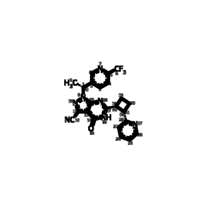 C[C@H](c1ccc(C(F)(F)F)nc1)n1nc(C#N)c2c(=O)[nH]c([C@H]3CC[C@@H]3c3ccccn3)nc21